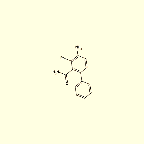 CCc1c(N)ccc(-c2ccccc2)c1C(N)=O